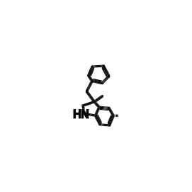 CC1(Cc2ccccc2)CNc2cc[c]cc21